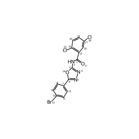 O=C(Nc1nnc(-c2ccc(Br)cc2)o1)c1cc(Cl)ccc1Cl